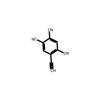 C#Cc1cc(C#N)c(C#N)cc1C#N